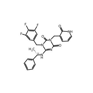 C[C@H](Nc1nc(=O)n(Cc2ccc[nH]c2=O)c(=O)n1Cc1cc(F)c(F)c(F)c1)c1ccccc1